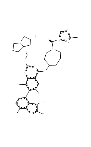 Cc1ncn(C(=O)N2CCCC(Oc3nc(OC[C@@]45CCCN4C[C@H](F)C5)nc4c(F)c(-c5ccc(F)c6sc(N)c(C#N)c56)c(Cl)cc34)CC2)n1